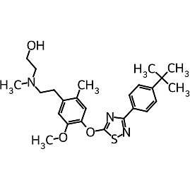 COc1cc(CCN(C)CCO)c(C)cc1Oc1nc(-c2ccc(C(C)(C)C)cc2)ns1